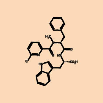 CN(C(=O)c1cccc(Cl)n1)[C@@H](Cc1ccccc1)C(=O)N[C@@H](Cc1c[nH]c2ccccc12)C(=O)O